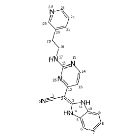 N#CC(=C1Nc2ccccc2N1)c1ccnc(NCCc2cccnc2)n1